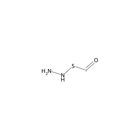 NNS[C]=O